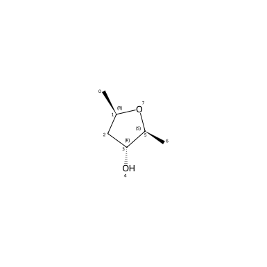 C[C@@H]1C[C@@H](O)[C@H](C)O1